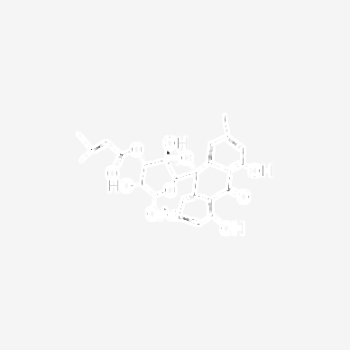 CC(=O)O[C@H]1O[C@H]([C@]2(O)c3cccc(O)c3C(=O)c3c(O)cc(C)cc32)[C@H](O)[C@@H](OC(=O)C=C(C)C)[C@H]1O